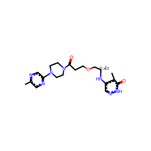 CC[C@@H](COCCC(=O)N1CCN(c2cnc(C)cn2)CC1)Nc1cn[nH]c(=O)c1C